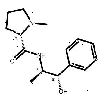 C[C@@H](NC(=O)[C@@H]1CCCN1C)[C@@H](O)c1ccccc1